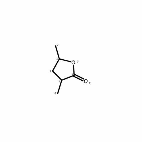 CC1CC(C)C(=O)O1